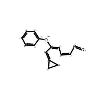 O=N/C=C\C=C(/C=C1CC1)Oc1ccccc1